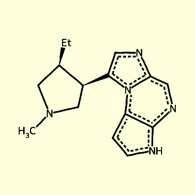 CC[C@@H]1CN(C)C[C@@H]1c1cnc2cnc3[nH]ccc3n12